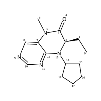 CC[C@@H]1C(=O)N(C)c2cncnc2N1C1CCCC1